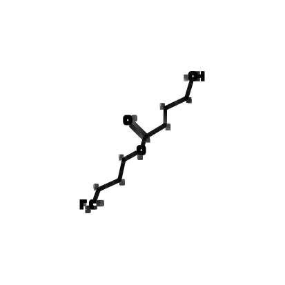 O=C(CCCO)OCCCC(F)(F)F